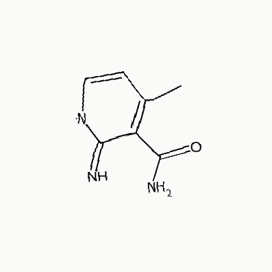 CC1=C(C(N)=O)C(=N)[N]C=C1